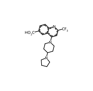 O=C(O)c1ccc2nc(C(F)(F)F)cc(N3CCC(N4CCCC4)CC3)c2c1